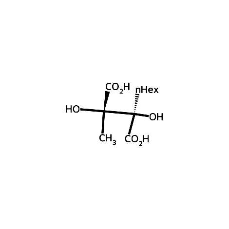 CCCCCC[C@](O)(C(=O)O)[C@](C)(O)C(=O)O